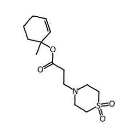 CC1(OC(=O)CCN2CCS(=O)(=O)CC2)C=CCCC1